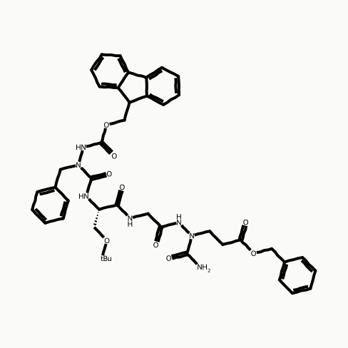 CC(C)(C)OC[C@H](NC(=O)N(Cc1ccccc1)NC(=O)OCC1c2ccccc2-c2ccccc21)C(=O)NCC(=O)NN(CCC(=O)OCc1ccccc1)C(N)=O